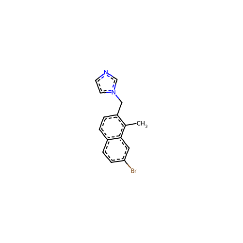 Cc1c(Cn2ccnc2)ccc2ccc(Br)cc12